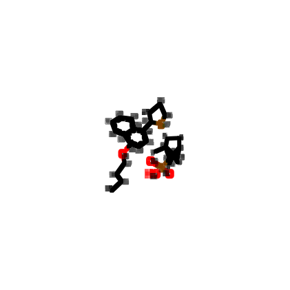 CC1(C)C2CCC1(C)C(S(=O)(=O)O)C2.CCCCOc1ccc(C2CCCS2)c2ccccc12